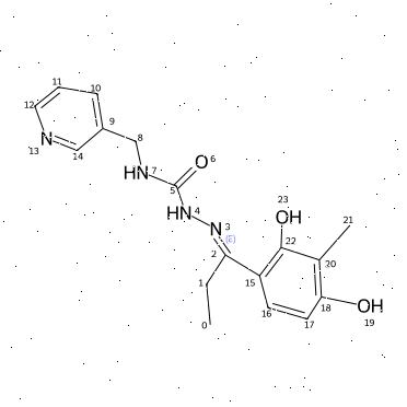 CC/C(=N\NC(=O)NCc1cccnc1)c1ccc(O)c(C)c1O